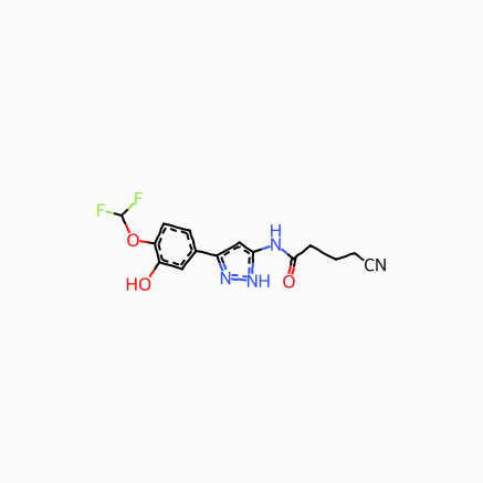 N#CCCCC(=O)Nc1cc(-c2ccc(OC(F)F)c(O)c2)n[nH]1